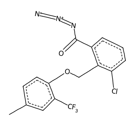 Cc1ccc(OCc2c(Cl)cccc2C(=O)N=[N+]=[N-])c(C(F)(F)F)c1